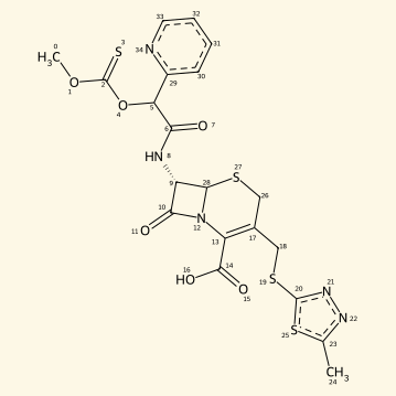 COC(=S)OC(C(=O)N[C@H]1C(=O)N2C(C(=O)O)=C(CSc3nnc(C)s3)CSC12)c1ccccn1